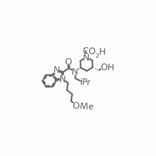 COCCCCn1c(C(=O)N(CC(C)C)[C@H]2C[C@@H](CO)CN(C(=O)O)C2)nc2ccccc21